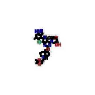 COc1nc(-c2c(Cl)c(C)cc3[nH]ncc23)c(F)c2nc(OC[C@]34CCC[C@H]3N(C[C@H]3COC(C)(C)O3)CCC4)nc(N3CCOC[C@@](C)(O)C3)c12